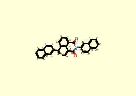 C=C(c1ccc2ccccc2c1)c1cccc2c1/C(=C\C)C(=O)N(c1ccc3ccccc3c1)C2=O